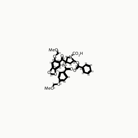 COCOc1ccc(C(=O)NC2(C(=O)c3cc4c(cc3OCOC)OCO4)CC(OC(=O)c3ccccc3)N(C(=O)O)C2)cc1